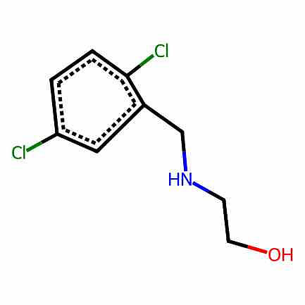 OCCNCc1cc(Cl)ccc1Cl